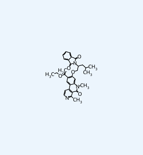 C=C(OCC)c1cc2c3ccnc(C)c3c(=O)n(C)c2cc1OCC(CC(C)C)N1C(=O)c2ccccc2C1=O